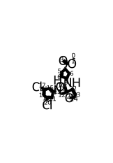 COC(=O)[C@@H]1C=C[C@H](NC(=O)C2(CNc3cc(Cl)cc(Cl)c3)C=CCO2)C1